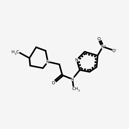 CC1CCN(CC(=O)N(C)c2ccc([N+](=O)[O-])cn2)CC1